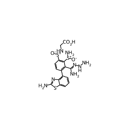 NN/N=C(\N)c1c(-c2cccc3sc(N)nc23)ccc([S+]([O-])NCC(=O)O)c1[S+](N)[O-]